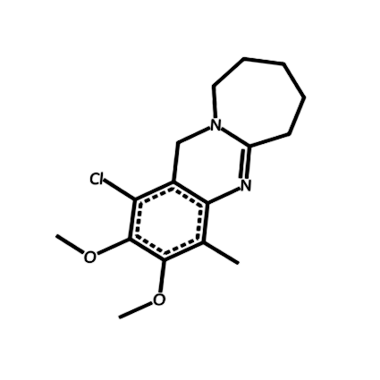 COc1c(C)c2c(c(Cl)c1OC)CN1CCCCCC1=N2